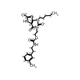 CCCCCn1c(=O)n(CCOC(=O)NCCc2cccc(C)c2)c(=O)c2[nH]c(Cl)nc21